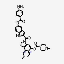 C/C=c1/c(OC(=O)N2CCN(C)CC2)cc2c(/c1=C/CC)CCN2C(=O)c1cc2cc(NC(=O)c3ccc(N)cc3)ccc2[nH]1